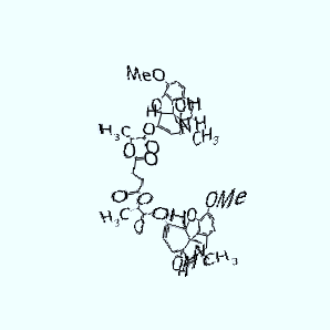 COc1ccc2c3c1O[C@H]1C(OC(=O)[C@H](C)OC(=O)CCC(=O)O[C@@H](C)C(=O)OC4=CC[C@@]5(O)[C@H]6Cc7ccc(OC)c8c7[C@@]5(CCN6C)[C@H]4O8)=CC[C@@]4(O)[C@@H](C2)N(C)CC[C@]314